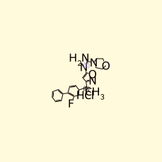 C[C@H](c1ccc(-c2ccccc2)c(F)c1)c1cc(/N=C(/N)N2CCOCC2)on1.Cl